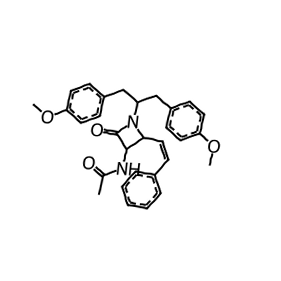 COc1ccc(CC(Cc2ccc(OC)cc2)N2C(=O)C(NC(C)=O)C2C=Cc2ccccc2)cc1